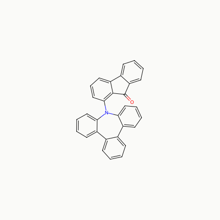 O=C1c2ccccc2-c2cccc(N3c4ccccc4-c4ccccc4-c4ccccc43)c21